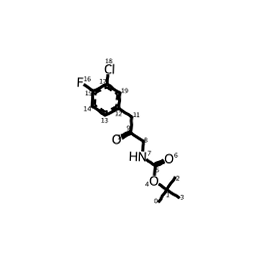 CC(C)(C)OC(=O)NCC(=O)Cc1ccc(F)c(Cl)c1